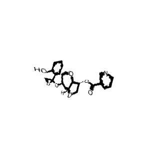 O=C(O[C@@H]1CO[C@H]2C1OC[C@@H]2OC1(c2ccccc2O)CO1)c1cccnc1